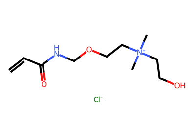 C=CC(=O)NCOCC[N+](C)(C)CCO.[Cl-]